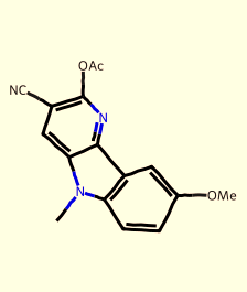 COc1ccc2c(c1)c1nc(OC(C)=O)c(C#N)cc1n2C